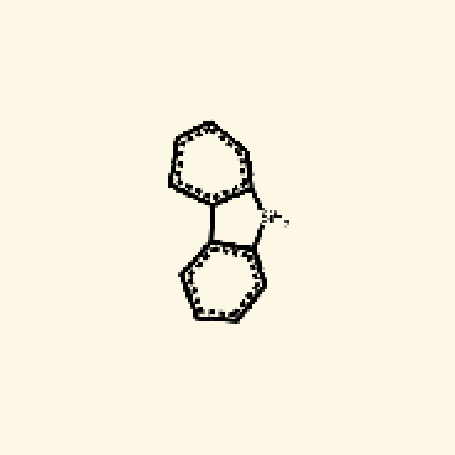 [c]1ccc2c(c1)[SiH2]c1ccccc1-2